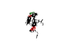 CCOCOc1ccc(C(C)(C)CCCc2ccc(F)c(Oc3ccccc3)c2)cc1